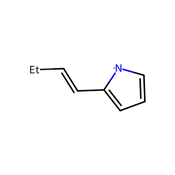 CC/C=C/C1=CC=C[N]1